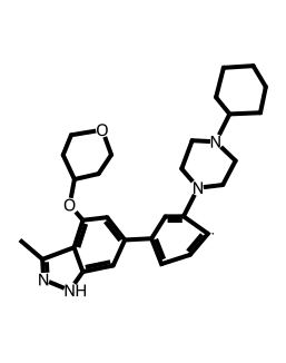 Cc1n[nH]c2cc(-c3cc[c]c(N4CCN(C5CCCCC5)CC4)c3)cc(OC3CCOCC3)c12